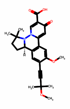 COc1cc2c(cc1C#CC(C)(C)OC)[C@H]1CCC(C)(C)N1n1cc(C(=O)O)c(=O)cc1-2